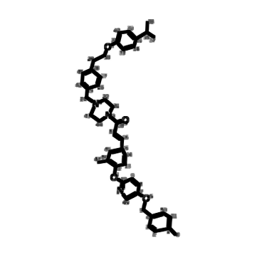 Cc1ccc(COc2ccc(Oc3ccc(/C=C/C(=O)N4CCN(Cc5ccc(CCOc6ccc(C(C)C)cc6)cc5)CC4)cc3C)nc2)cc1